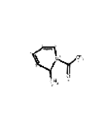 CC1C=CC=CN1C(=O)C(F)(F)F